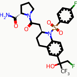 NC(=O)[C@@H]1CCCN1C(=O)C[C@@H]1CCc2cc(C(O)(CF)C(F)(F)F)ccc2N1S(=O)(=O)c1ccc(F)cc1